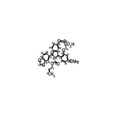 C=CCOC(=O)[C@H]1[C@H](c2ccc(OC)cc2OCC(=O)O)c2cc(OCCC)ccc2[C@@H]1c1ccc2c(c1)OCO2